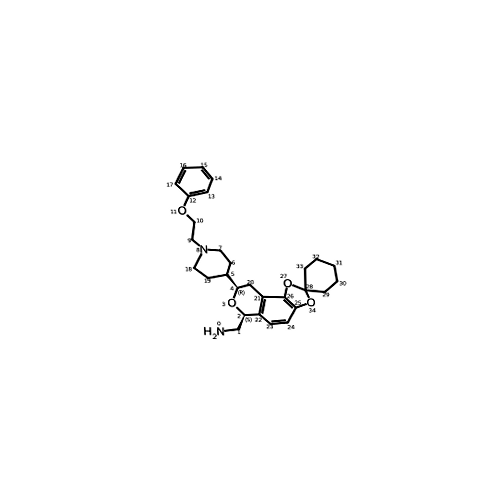 NC[C@H]1O[C@@H](C2CCN(CCOc3ccccc3)CC2)Cc2c1ccc1c2OC2(CCCCC2)O1